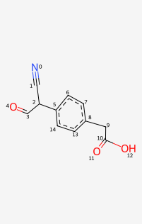 N#CC(C=O)c1ccc(CC(=O)O)cc1